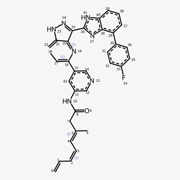 C=C/C=C\C=C(/C)CC(=O)Nc1cncc(C(=C/C)/N=C2\C(=C)NN=C2c2nc3c(-c4ccc(F)cc4)cccc3[nH]2)c1